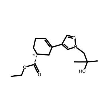 CCOC(=O)[C@@H]1CCC=C(c2cnn(CC(C)(C)O)c2)C1